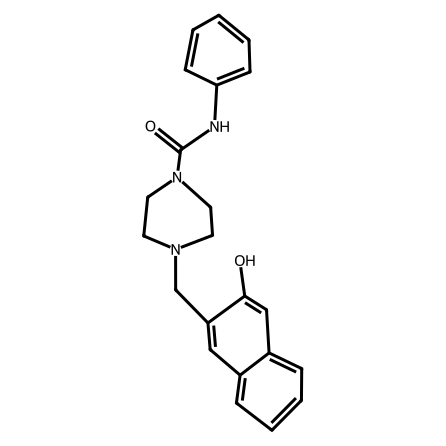 O=C(Nc1ccccc1)N1CCN(Cc2cc3ccccc3cc2O)CC1